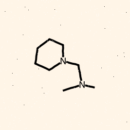 CN(C)CN1CCCCC1